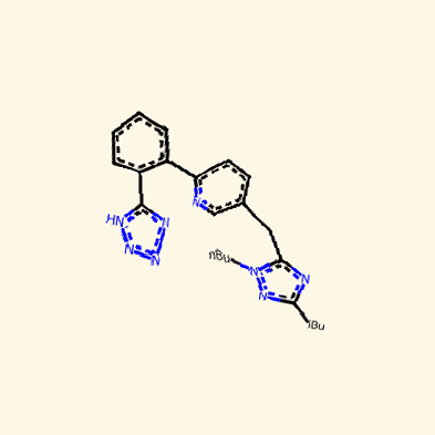 CCCCn1nc(C(C)CC)nc1Cc1ccc(-c2ccccc2-c2nnn[nH]2)nc1